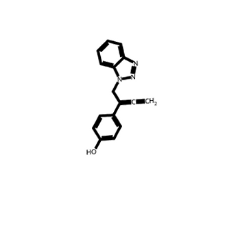 C=C=C(Cn1nnc2ccccc21)c1ccc(O)cc1